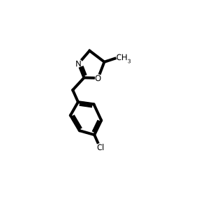 CC1CN=C(Cc2ccc(Cl)cc2)O1